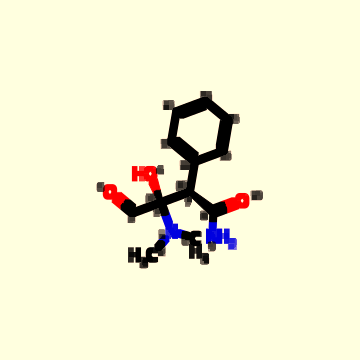 CN(C)[C@](O)(C=O)[C@H](C(N)=O)c1ccccc1